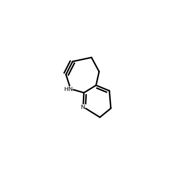 C1#CNC2=NCCC=C2CC1